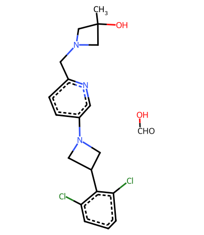 CC1(O)CN(Cc2ccc(N3CC(c4c(Cl)cccc4Cl)C3)cn2)C1.O=CO